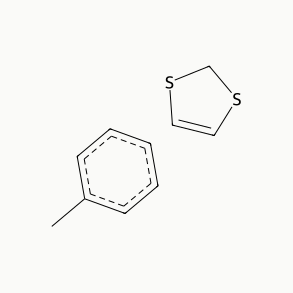 C1=CSCS1.Cc1ccccc1